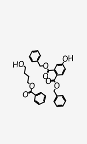 O=C(OCCCCO)c1ccccc1.O=C(OCc1ccccc1)c1ccc(O)cc1C(=O)OCc1ccccc1